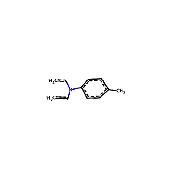 C=CN(C=C)c1ccc(C)cc1